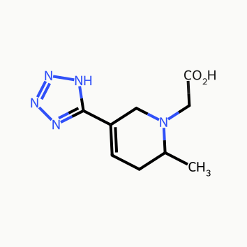 CC1CC=C(c2nnn[nH]2)CN1CC(=O)O